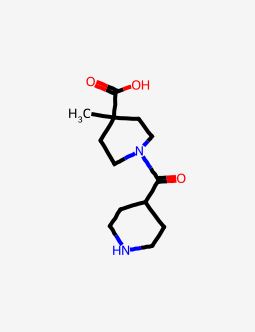 CC1(C(=O)O)CCN(C(=O)C2CCNCC2)CC1